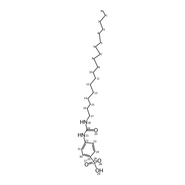 CCCCCCCCCCCCCCCCCCNC(=O)Nc1ccc(S(=O)(=O)O)cc1